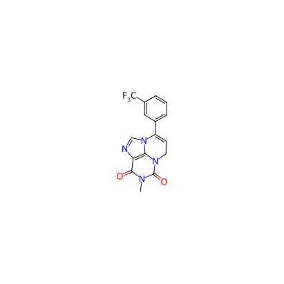 Cn1c(=O)c2ncn3c2n(c1=O)CC=C3c1cccc(C(F)(F)F)c1